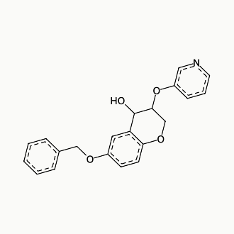 OC1c2cc(OCc3ccccc3)ccc2OCC1Oc1cccnc1